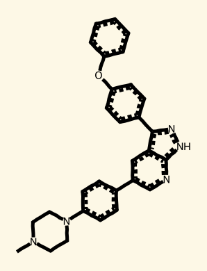 CN1CCN(c2ccc(-c3cnc4[nH]nc(-c5ccc(Oc6ccccc6)cc5)c4c3)cc2)CC1